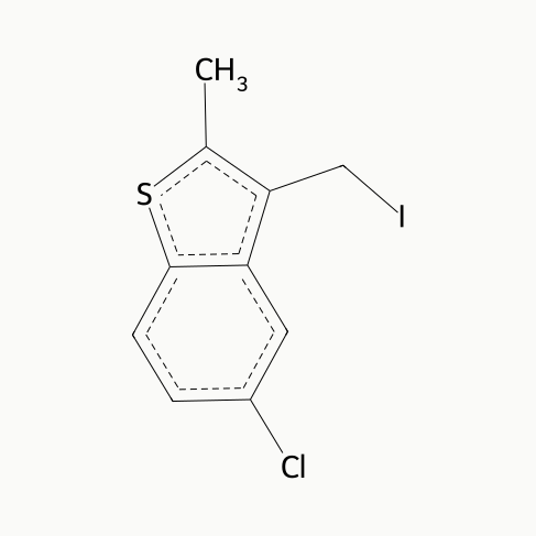 Cc1sc2ccc(Cl)cc2c1CI